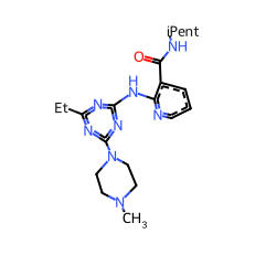 CCCC(C)NC(=O)c1cccnc1Nc1nc(CC)nc(N2CCN(C)CC2)n1